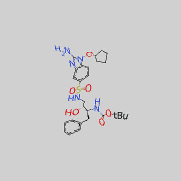 CC(C)(C)OC(=O)N[C@@H](Cc1ccccc1)[C@H](O)CNS(=O)(=O)c1ccc2c(c1)nc(N)n2OC1CCCC1